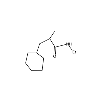 CCNC(=O)C(C)CC1CCCCC1